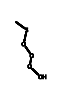 CSOOOO